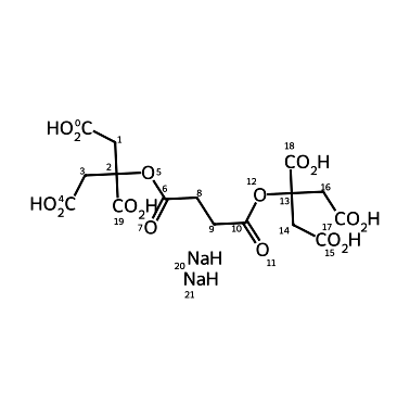 O=C(O)CC(CC(=O)O)(OC(=O)CCC(=O)OC(CC(=O)O)(CC(=O)O)C(=O)O)C(=O)O.[NaH].[NaH]